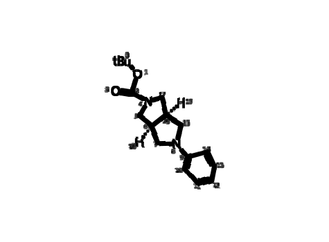 CC(C)(C)OC(=O)N1C[C@@H]2CN(c3ccccc3)C[C@@H]2C1